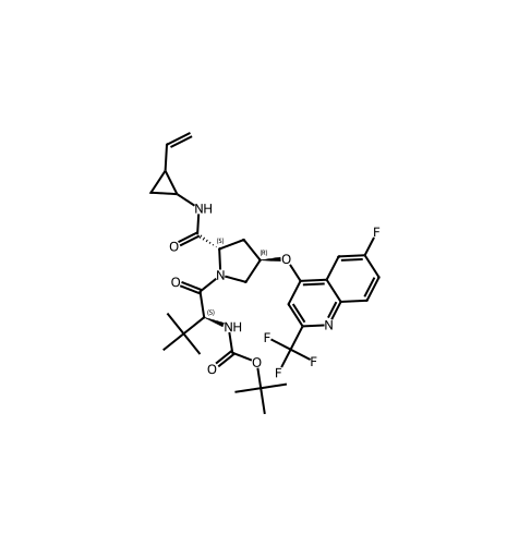 C=CC1CC1NC(=O)[C@@H]1C[C@@H](Oc2cc(C(F)(F)F)nc3ccc(F)cc23)CN1C(=O)[C@@H](NC(=O)OC(C)(C)C)C(C)(C)C